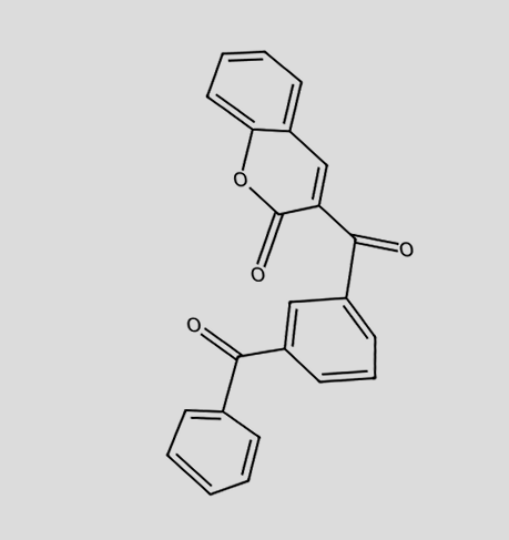 O=C(c1ccccc1)c1cccc(C(=O)c2cc3ccccc3oc2=O)c1